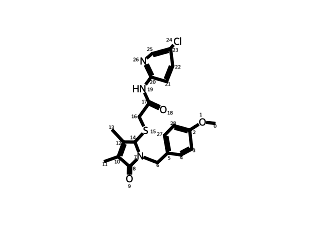 COc1ccc(CN2C(=O)C(C)=C(C)C2SCC(=O)Nc2ccc(Cl)cn2)cc1